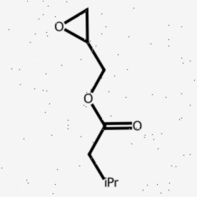 CC(C)CC(=O)OCC1CO1